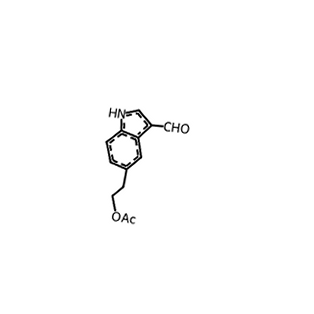 CC(=O)OCCc1ccc2[nH]cc(C=O)c2c1